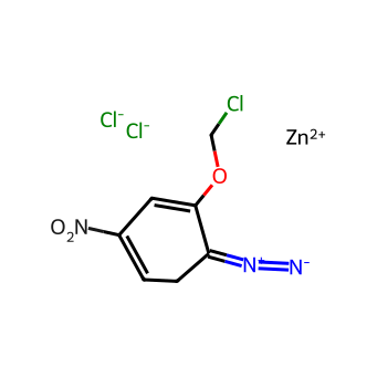 [Cl-].[Cl-].[N-]=[N+]=C1CC=C([N+](=O)[O-])C=C1OCCl.[Zn+2]